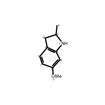 COc1ccc2c(c1)NC(C)C2